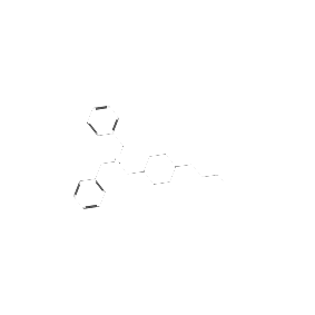 OCCCC1CCC(CN(Cc2ccccc2)Cc2ccccc2)CC1